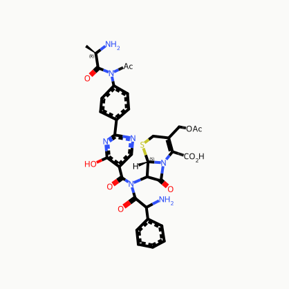 CC(=O)OCC1=C(C(=O)O)N2C(=O)C(N(C(=O)c3cnc(-c4ccc(N(C(C)=O)C(=O)[C@@H](C)N)cc4)nc3O)C(=O)C(N)c3ccccc3)[C@@H]2SC1